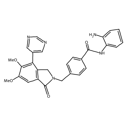 COc1cc2c(c(-c3cncnc3)c1OC)CN(Cc1ccc(C(=O)Nc3ccccc3N)cc1)C2=O